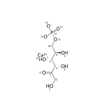 O=C(CO)[C@@H](O)[C@H](O)[C@H](O)COP(=O)([O-])[O-].[Ca+2]